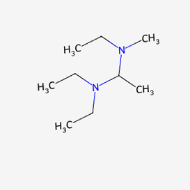 CCN(C)C(C)N(CC)CC